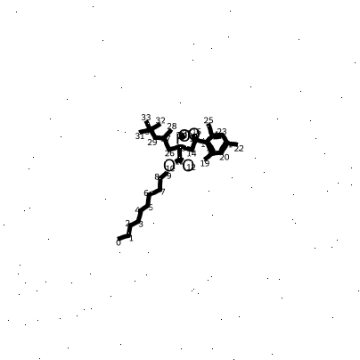 CCCCCCCCCCOC(=O)C(CC(=O)c1c(C)cc(C)cc1C)(CC(C)CC(C)(C)C)P=O